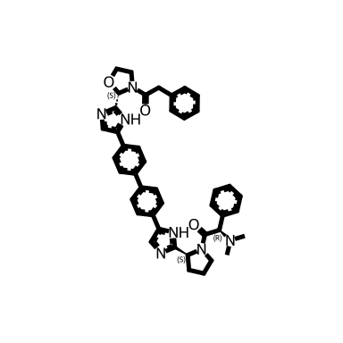 CN(C)[C@@H](C(=O)N1CCC[C@H]1c1ncc(-c2ccc(-c3ccc(-c4cnc([C@@H]5OCCN5C(=O)Cc5ccccc5)[nH]4)cc3)cc2)[nH]1)c1ccccc1